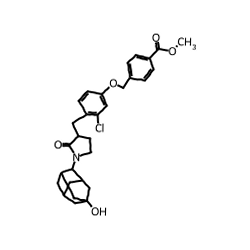 COC(=O)c1ccc(COc2ccc(CC3CCN(C4C5CC6CC4CC(O)(C6)C5)C3=O)c(Cl)c2)cc1